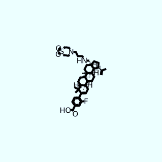 C=C(C)[C@@H]1CC[C@]2(CNCCCN3CCS(=O)(=O)CC3)CC[C@]3(C)[C@H](CC[C@@H]4[C@@]5(C)CC=C(c6ccc(C(=O)O)cc6F)C(C)(C)[C@@H]5CC[C@]43C)[C@@H]12